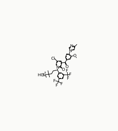 COc1cc(C(=O)c2cc(Cl)cn(C(CCC(C)(C)[Si](C)(C)O)c3cc(C(F)(F)F)cc(C(F)(F)F)c3)c2=O)ccc1-n1cnc(C)c1